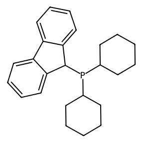 c1ccc2c(c1)-c1ccccc1C2P(C1CCCCC1)C1CCCCC1